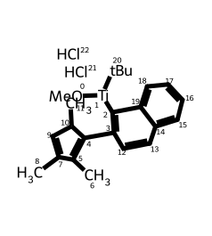 C[O][Ti]([c]1c(C2=C(C)C(C)=CC2C)ccc2ccccc12)[C](C)(C)C.Cl.Cl